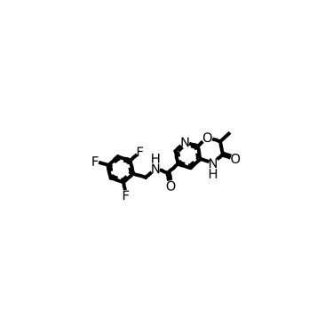 CC1Oc2ncc(C(=O)NCc3c(F)cc(F)cc3F)cc2NC1=O